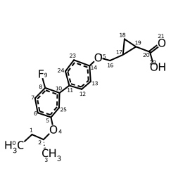 CC[C@@H](C)Oc1ccc(F)c(-c2ccc(OCC3CC3C(=O)O)cc2)c1